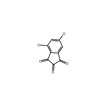 O=c1c(=O)c2cc(Cl)cc(Cl)c2c1=O